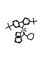 CC(C)(C)c1ccc2c(c1)[CH]([Hf]([CH3])([CH3])(=[C](c1ccccc1)C1CCCCC1)[CH]1C=CC=C1)c1cc(C(C)(C)C)ccc1-2